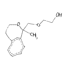 CC1(COCCO)OCCc2ccccc21